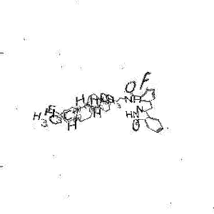 CC1(F)CC[C@@]2(C)[C@@H](CC[C@@H]3[C@@H]2CC[C@]2(C)[C@@H](OCCNC(=O)c4cc(Cc5n[nH]c(=O)c6ccccc56)ccc4F)CC[C@@H]32)C1